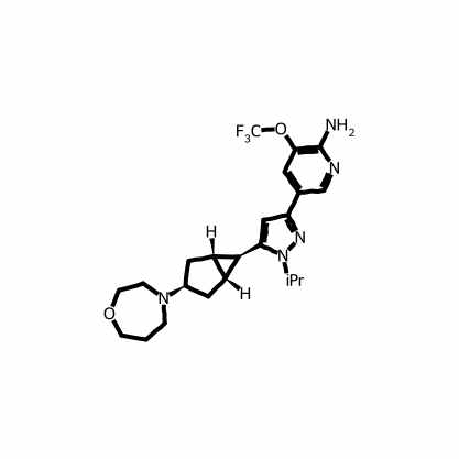 CC(C)n1nc(-c2cnc(N)c(OC(F)(F)F)c2)cc1[C@H]1[C@@H]2C[C@@H](N3CCCOCC3)C[C@@H]21